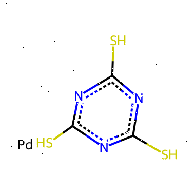 Sc1nc(S)nc(S)n1.[Pd]